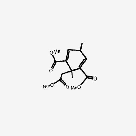 COC(=O)CC1(C)C(C(=O)OC)=CC(C)C=C1C(=O)OC